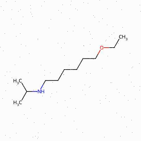 CCOCCCCCCNC(C)C